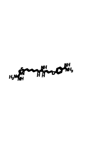 N=C(NCCCCCc1nc(C(=N)N)cs1)NCCCOc1ccc(C(=N)N)cc1